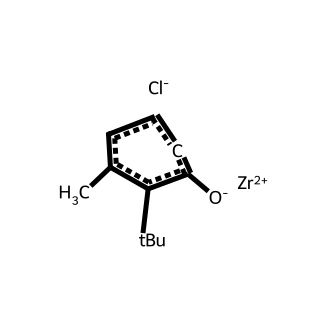 Cc1cccc([O-])c1C(C)(C)C.[Cl-].[Zr+2]